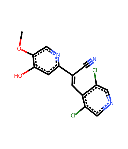 COc1cnc(C(C#N)=Cc2c(Cl)cncc2Cl)cc1O